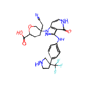 N#CCC1(n2nc(Nc3ccc(C4(C(F)(F)F)CCNC4)cc3)c3c(=O)[nH]ccc32)CCC(C(=O)O)OC1